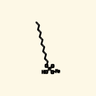 CCCCCCCCCCCCOP(=O)(O)[O][Fe]